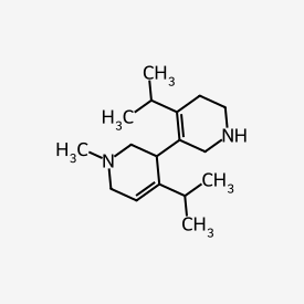 CC(C)C1=CCN(C)CC1C1=C(C(C)C)CCNC1